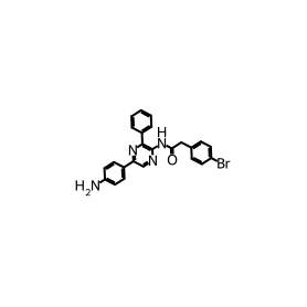 Nc1ccc(-c2cnc(NC(=O)Cc3ccc(Br)cc3)c(-c3ccccc3)n2)cc1